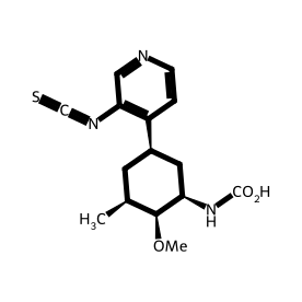 CO[C@H]1[C@@H](C)C[C@@H](c2ccncc2N=C=S)C[C@H]1NC(=O)O